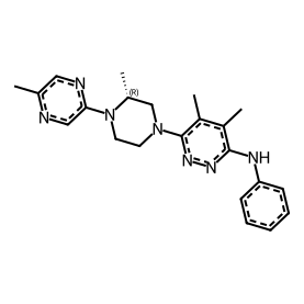 Cc1cnc(N2CCN(c3nnc(Nc4ccccc4)c(C)c3C)C[C@H]2C)cn1